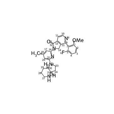 COc1cccc(F)c1-c1nccc2c1CN(c1cc(C)cc(N3CC[C@H]4NCCC[C@H]43)n1)C2=O